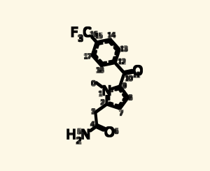 Cn1c(CC(N)=O)ccc1C(=O)c1ccc(C(F)(F)F)cc1